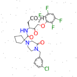 O=C(O)C[C@H](NC(=O)C1(N2CCN(Cc3cccc(Cl)c3)C(=O)C2)CCCC1)C(=O)COc1c(F)c(F)cc(F)c1F